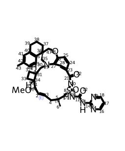 CO[C@H]1/C=C/C[C@H](C)C[S@@](=O)(NC(=O)Nc2ncccn2)=NC(=O)c2ccc3c(c2)N(C[C@@H]2CC[C@H]21)C[C@@]1(CCCc2cc(C)ccc21)CO3